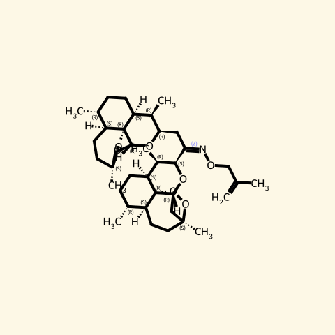 C=C(C)CO/N=C(/C[C@H]1O[C@@H]2C[C@]3(C)CC[C@H]4[C@H](C)CC[C@@H]([C@H]1C)[C@@]24OO3)[C@H]1O[C@@H]2C[C@]3(C)CC[C@H]4[C@H](C)CC[C@@H]([C@H]1C)[C@@]24OO3